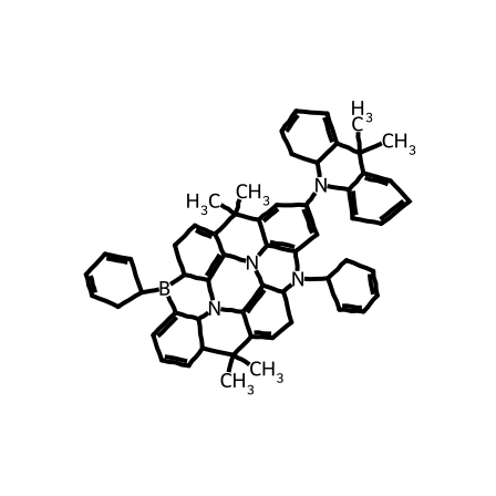 CC1(C)C2=CC=CCC2N(c2cc3c4c(c2)C(C)(C)C2=CCC5B(C6C=CC=CC6)C6=CC=CC7C6N6C8=C(C(CC=C8C7(C)C)N3C3C=CC=CC3)N4C2=C56)c2ccccc21